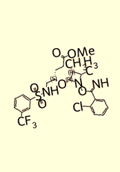 COC(=O)CC[C@@H](CNS(=O)(=O)c1cccc(C(F)(F)F)c1)O[C@@H]1[C@H](C)C(C)N1OC(=N)c1ccccc1Cl